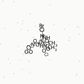 CC(C)C(NC(=O)OC1CCCC1)C(=O)N1C[C@H](OC(=O)N2Cc3ccc4c(c3C2)OCO4)C[C@H]1c1nc(-c2ccc(Br)cc2)c[nH]1